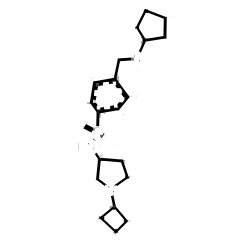 O=S(=O)(NC1CCN(C2CCC2)C1)c1ccc(CNC2CCCC2)cc1